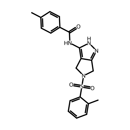 Cc1ccc(C(=O)Nc2[nH]nc3c2CN(S(=O)(=O)c2ccccc2C)C3)cc1